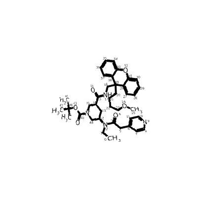 CCN(C(=O)Cc1ccncc1)C1CC(C(=O)NCC2(CCCCOC)c3ccccc3Oc3ccccc32)CN(C(=O)OC(C)(C)C)C1